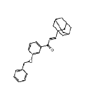 O=C(C=CC12CC3CC(CC(C3)C1)C2)c1cccc(OCc2ccccc2)c1